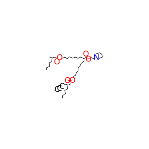 C=C=C=C=CC(CCCCC)CC(=O)OCCCCCCCCC(CCCCCCCCOC(=O)CC(C)CCCCC)C(=O)OCCN1CCCCC1